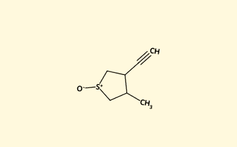 C#CC1C[S+]([O-])CC1C